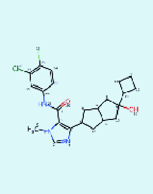 Cn1cnc(C2CC3CC(O)(C4CCC4)CC3C2)c1C(=O)Nc1ccc(F)c(Cl)c1